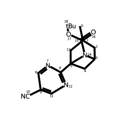 CC1CC2CC(c3ncc(C#N)cn3)(C1)N2C(=O)OC(C)(C)C